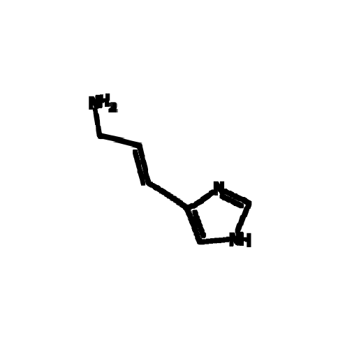 NCC=Cc1c[nH]cn1